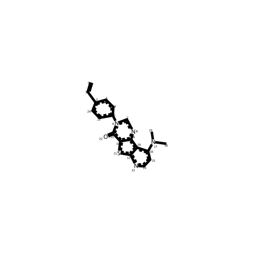 C=Cc1ccc(-n2cnc3c(sc4nccc(N(C)C)c43)c2=O)cc1